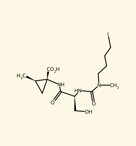 C[C@@H]1C[C@]1(NC(=O)[C@H](CO)NC(=O)N(C)CCCCI)C(=O)O